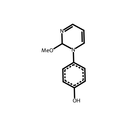 COC1N=CC=CN1c1ccc(O)cc1